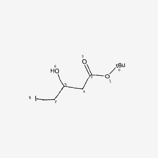 CC(C)(C)OC(=O)CC(O)CI